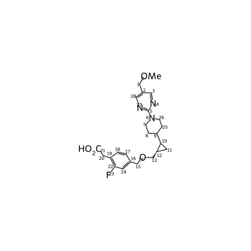 COCc1cnc(N2CCC(C3C[C@H]3COCc3ccc(CC(=O)O)c(F)c3)CC2)nc1